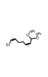 CC/C=C\CC/C=C\C(OCCC)OCCC